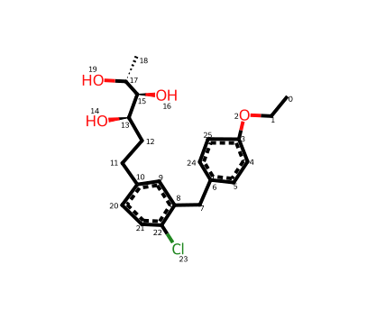 CCOc1ccc(Cc2cc(CC[C@@H](O)[C@H](O)[C@@H](C)O)ccc2Cl)cc1